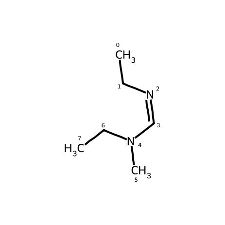 CC/N=C\N(C)CC